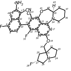 N#Cc1c(N)sc2c(F)ccc(-c3c(Cl)c4c5c(nc(OCC67CCCN6C[C@H](F)C7)nc5c3F)N3CCCC[C@@H]3CO4)c12